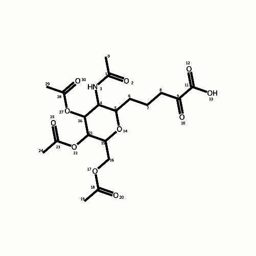 CC(=O)NC1C(CCCC(=O)C(=O)O)OC(COC(C)=O)C(OC(C)=O)C1OC(C)=O